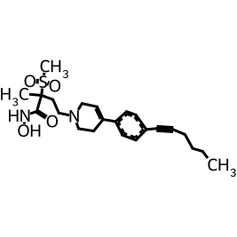 CCCCC#Cc1ccc(C2=CCN(CCC(C)(C(=O)NO)S(C)(=O)=O)CC2)cc1